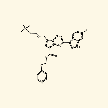 C[Si](C)(C)CCOCn1cc(C(=O)NCCc2ccncc2)c2nc(-c3n[nH]c4cc(F)ccc34)cnc21